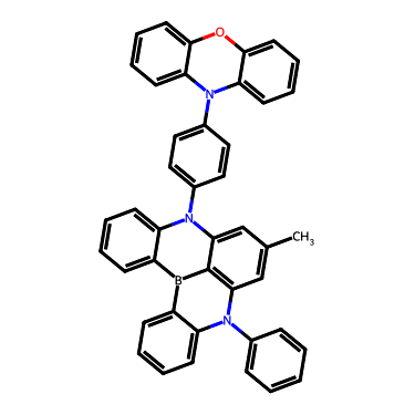 Cc1cc2c3c(c1)N(c1ccc(N4c5ccccc5Oc5ccccc54)cc1)c1ccccc1B3c1ccccc1N2c1ccccc1